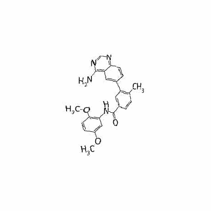 COc1ccc(OC)c(NC(=O)c2ccc(C)c(-c3ccc4ncnc(N)c4c3)c2)c1